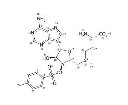 Cc1ccc(S(=O)(=O)O[C@H]2[C@@H](O)[C@H](n3cnc4c(N)ncnc43)O[C@@H]2C[S@@+](C)CC[C@H](N)C(=O)O)cc1